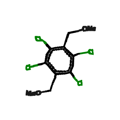 COCc1c(Cl)c(Cl)c(COC)c(Cl)c1Cl